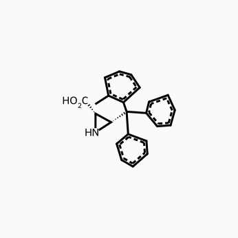 Cc1ccccc1C(c1ccccc1)(c1ccccc1)[C@@H]1N[C@@H]1C(=O)O